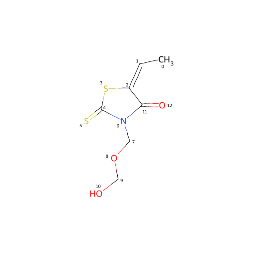 C/C=C1/SC(=S)N(COCO)C1=O